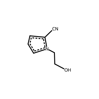 N#Cc1cccn1CCO